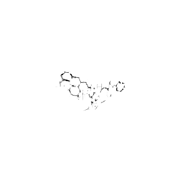 CCOP(=O)(OCC)C(O)[C@H](CCC(=O)N(C)c1ccccc1)NC(=O)[CH]C(Cc1cccc(Cl)c1)C1CCCCC1